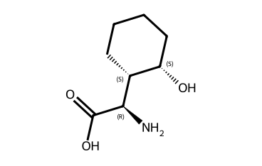 N[C@@H](C(=O)O)[C@@H]1CCCC[C@@H]1O